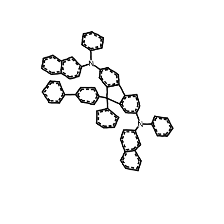 c1ccc(-c2ccc(C3(c4ccccc4)c4cc(N(c5ccccc5)c5ccc6ccccc6c5)ccc4-c4ccc(N(c5ccccc5)c5ccc6ccccc6c5)cc43)cc2)cc1